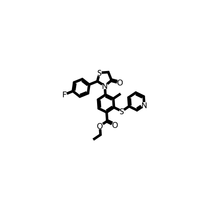 CCOC(=O)c1ccc(N2C(=O)CSC2c2ccc(F)cc2)c(C)c1Sc1cccnc1